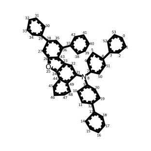 c1ccc(-c2ccc(N(c3ccc(-c4ccccc4)cc3)c3cc4c(oc5cc(-c6ccccc6)cc(-c6ccccc6)c54)c4ccccc34)cc2)cc1